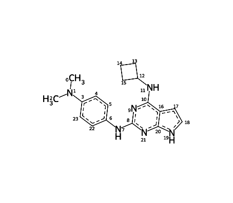 CN(C)c1ccc(Nc2nc(NC3CCC3)c3cc[nH]c3n2)cc1